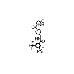 O=C1CCC(C(=O)N2CCC(CNC(=O)c3cc(C(F)(F)F)cc(C(F)(F)F)c3)CC2)N1